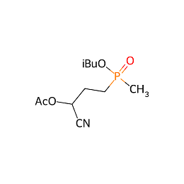 CC(=O)OC(C#N)CCP(C)(=O)OCC(C)C